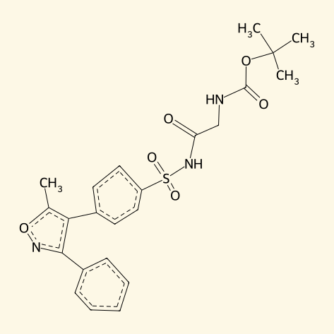 Cc1onc(-c2ccccc2)c1-c1ccc(S(=O)(=O)NC(=O)CNC(=O)OC(C)(C)C)cc1